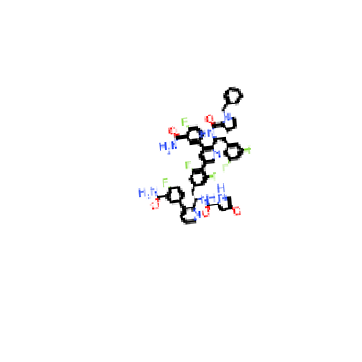 NC(=O)c1cc(-c2cc(-c3c(F)cc(C[C@H](NC(=O)[C@@H]4CC(=O)CN4)c4ncccc4-c4ccc(F)c(C(N)=O)c4)cc3F)cnc2[C@H](Cc2cc(F)cc(F)c2)NC(=O)C2CCCN2Cc2ccccc2)ccc1F